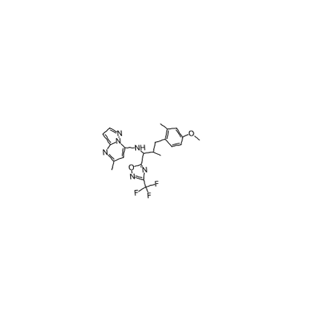 COc1ccc(CC(C)C(Nc2cc(C)nc3ccnn23)c2nc(C(F)(F)F)no2)c(C)c1